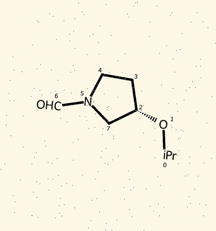 CC(C)O[C@H]1CCN(C=O)C1